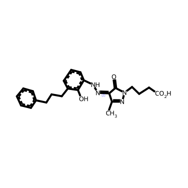 CC1=NN(CCCC(=O)O)C(=O)/C1=N\Nc1cccc(CCCc2ccccc2)c1O